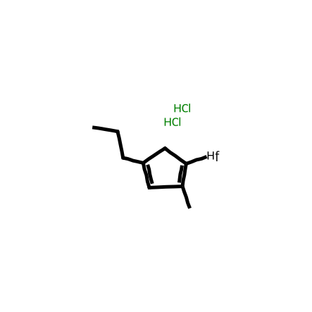 CCCC1=CC(C)=[C]([Hf])C1.Cl.Cl